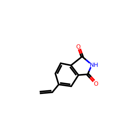 C=Cc1ccc2c(c1)C(=O)NC2=O